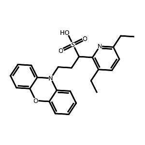 CCc1ccc(CC)c(C(CCN2c3ccccc3Oc3ccccc32)S(=O)(=O)O)n1